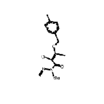 C=NN(C(=O)/C(Cl)=C(\C)OCc1ccc(C)cc1)C(C)(C)C